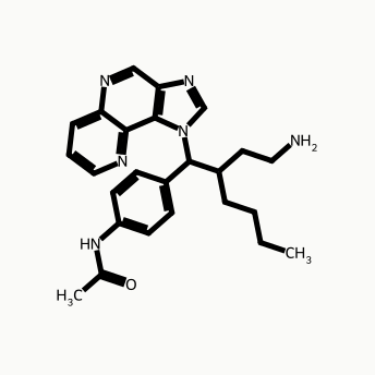 CCCCC(CCN)C(c1ccc(NC(C)=O)cc1)n1cnc2cnc3cccnc3c21